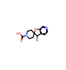 O=C(O)N1CCC2(CC1)Oc1cnccc1C2Br